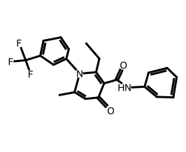 CCc1c(C(=O)Nc2ccccc2)c(=O)cc(C)n1-c1cccc(C(F)(F)F)c1